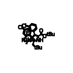 COc1cc(Cl)ccc1C1(N)[C@H](CC(C)(C)C)N[C@H](C(=O)OC(C)(C)C)[C@@H]1c1cccc(Cl)c1F